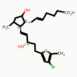 Cc1sc(CC[C@H](O)C=C[C@H]2C(C)CC(O)[C@@H]2CC=CCCCC(=O)O)cc1Br